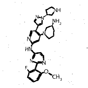 COc1cccc(F)c1-c1nccc(Nc2cc(N3CCC[C@H](N)C3)c(-c3cnn([C@H]4CCNC4)c3)cn2)n1